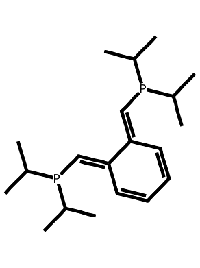 CC(C)P(C=c1ccccc1=CP(C(C)C)C(C)C)C(C)C